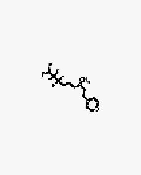 CN(CCCC(F)(F)C(F)(F)C(F)F)CCN1CCOCC1